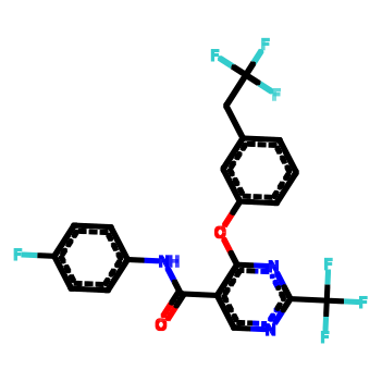 O=C(Nc1ccc(F)cc1)c1cnc(C(F)(F)F)nc1Oc1cccc(CC(F)(F)F)c1